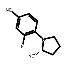 N#Cc1ccc(N2CCC[C@@H]2C#N)c(F)c1